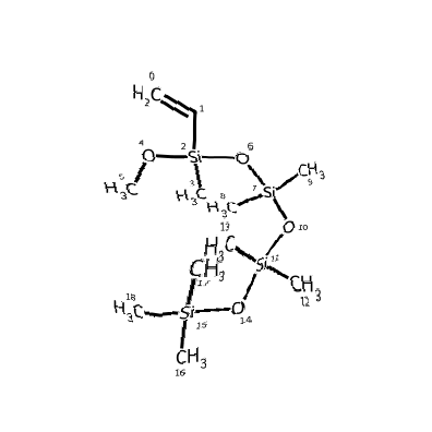 C=C[Si](C)(OC)O[Si](C)(C)O[Si](C)(C)O[Si](C)(C)C